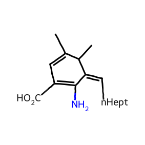 CCCCCCCC=C1C(N)=C(C(=O)O)C=C(C)C1C